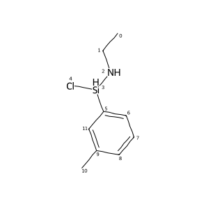 CCN[SiH](Cl)c1cccc(C)c1